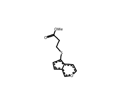 COC(=O)CCSc1ccc2coccc1-2